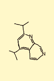 CC(C)c1cc(C(C)C)c2ccncc2n1